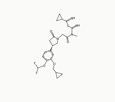 CN(C(=N)SC(=N)C1CC1)C(=O)CN1C[C@@H](c2ccc(OC(F)F)c(OCC3CC3)c2)CC1=O